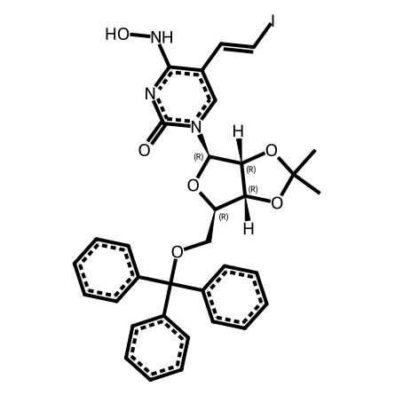 CC1(C)O[C@@H]2[C@H](O1)[C@@H](COC(c1ccccc1)(c1ccccc1)c1ccccc1)O[C@H]2n1cc(C=CI)c(NO)nc1=O